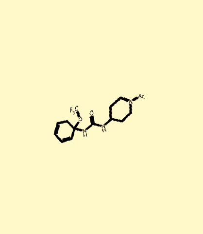 CC(=O)N1CCC(NC(=O)NC2(OC(F)(F)F)C=CC=CC2)CC1